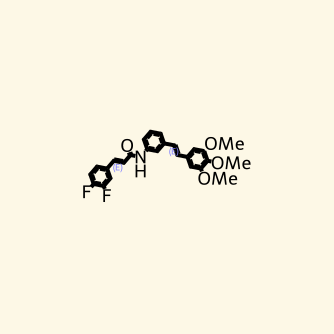 COc1cc(/C=C/c2cccc(NC(=O)/C=C/c3ccc(F)c(F)c3)c2)cc(OC)c1OC